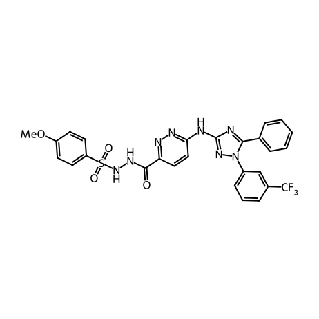 COc1ccc(S(=O)(=O)NNC(=O)c2ccc(Nc3nc(-c4ccccc4)n(-c4cccc(C(F)(F)F)c4)n3)nn2)cc1